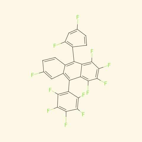 Fc1ccc(-c2c3ccc(F)cc3c(-c3c(F)c(F)c(F)c(F)c3F)c3c(F)c(F)c(F)c(F)c23)c(F)c1